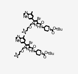 Cc1cc(-c2c(Br)c(C(=O)NC3CCN(C(=O)OC(C)(C)C)CC3)nn2COCC[Si](C)(C)C)cn2ncnc12.Cc1cc(-c2c(Br)c(C(=O)NC3CCN(C(=O)OC(C)(C)C)CC3)nn2COCC[Si](C)(C)C)cn2ncnc12